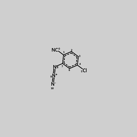 N#Cc1ccc(Cl)cc1N=[N+]=[N-]